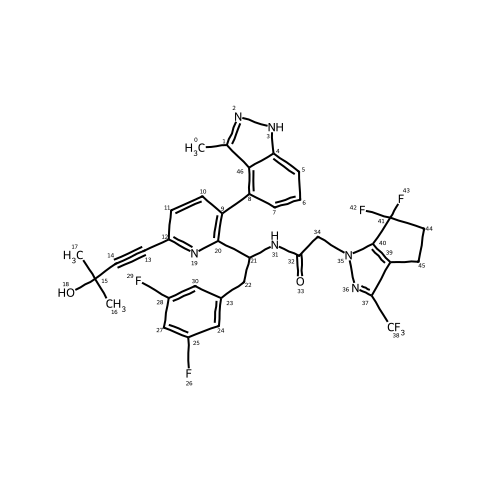 Cc1n[nH]c2cccc(-c3ccc(C#CC(C)(C)O)nc3C(Cc3cc(F)cc(F)c3)NC(=O)Cn3nc(C(F)(F)F)c4c3C(F)(F)CC4)c12